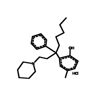 CCCCCC(CCN1CCCCC1)(c1ccccc1)c1cc(C)ccc1O.Cl